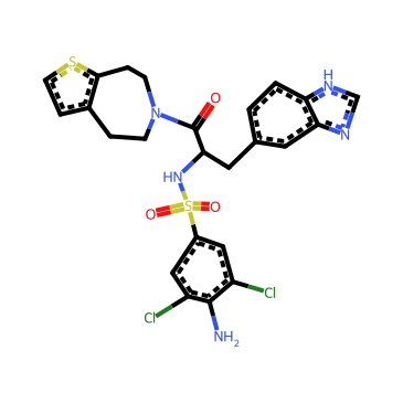 Nc1c(Cl)cc(S(=O)(=O)NC(Cc2ccc3[nH]cnc3c2)C(=O)N2CCc3ccsc3CC2)cc1Cl